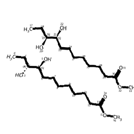 CC[C@@H](O)[C@@H](O)CCCCCCCC(=O)OC.CC[C@H](O)[C@@H](O)CCCCCCCC(=O)OC